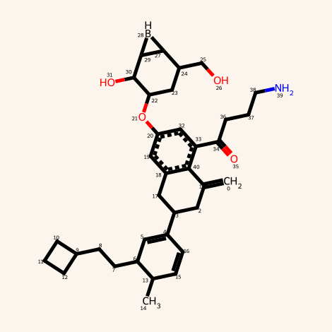 C=C1CC(C2=CC(CCC3CCC3)C(C)C=C2)Cc2cc(OC3CC(CO)C4BC4C3O)cc(C(=O)CCCN)c21